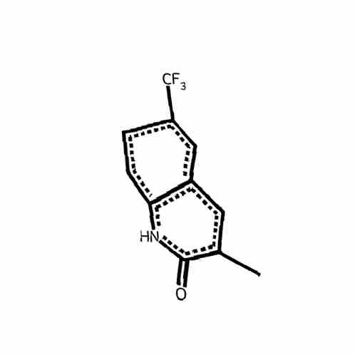 Cc1cc2cc(C(F)(F)F)ccc2[nH]c1=O